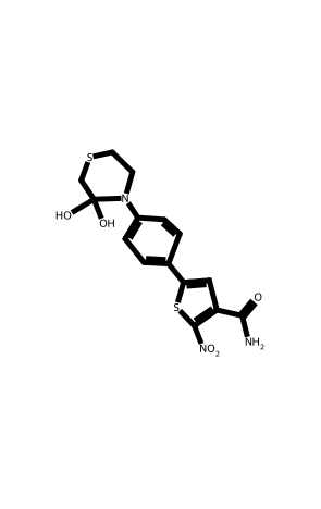 NC(=O)c1cc(-c2ccc(N3CCSCC3(O)O)cc2)sc1[N+](=O)[O-]